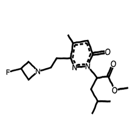 COC(=O)C(CC(C)C)n1nc(CCN2CC(F)C2)c(C)cc1=O